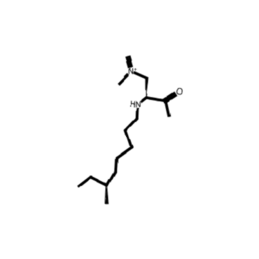 C=[N+](C)C[C@H](NCCCCC[C@@H](C)CC)C(C)=O